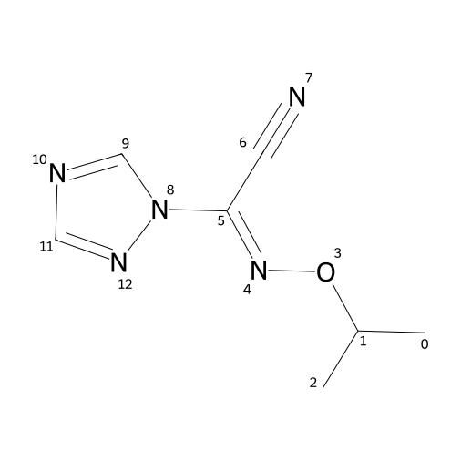 CC(C)O/N=C(\C#N)n1cncn1